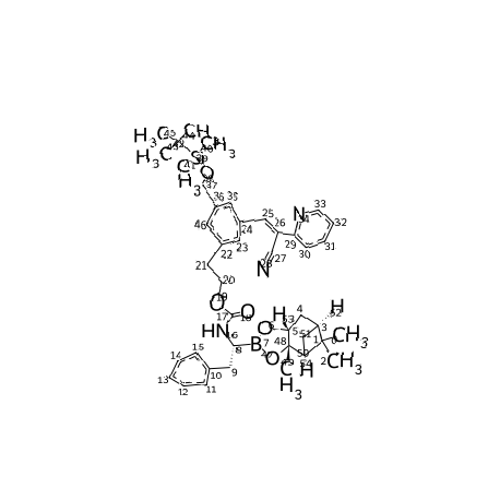 CC1(C)[C@@H]2C[C@H]3OB([C@H](Cc4ccccc4)NC(=O)OCCc4cc(C=C(C#N)c5ccccn5)cc(CO[Si](C)(C)C(C)(C)C)c4)O[C@@]3(C)[C@H]1C2